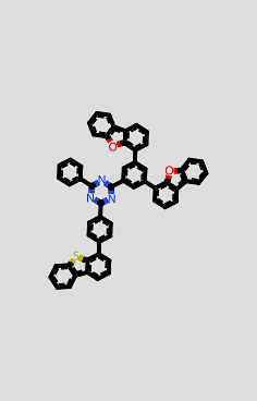 c1ccc(-c2nc(-c3ccc(-c4cccc5c4sc4ccccc45)cc3)nc(-c3cc(-c4cccc5c4oc4ccccc45)cc(-c4cccc5c4oc4ccccc45)c3)n2)cc1